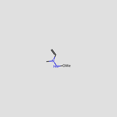 C=CN(C)NOC